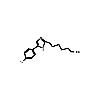 N#Cc1ccc(-c2cnc(CCCCCCC=O)[nH]2)cc1